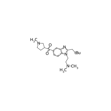 CN(C)CCn1c(CC(C)(C)C)nc2cc(S(=O)(=O)C3CCN(C)C3)ccc21